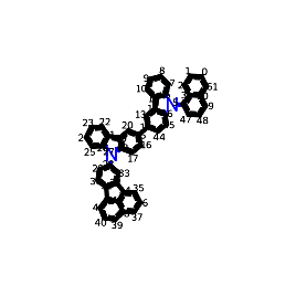 c1ccc2c(-n3c4ccccc4c4cc(-c5ccc6c(c5)c5ccccc5n6-c5ccc6c(c5)-c5cccc7cccc-6c57)ccc43)cccc2c1